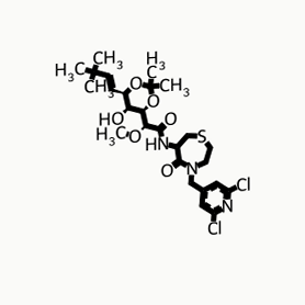 CO[C@@H](C(=O)NC1CSCCN(Cc2cc(Cl)nc(Cl)c2)C1=O)[C@@H]1OC(C)(C)O[C@H](/C=C/C(C)(C)C)[C@@H]1O